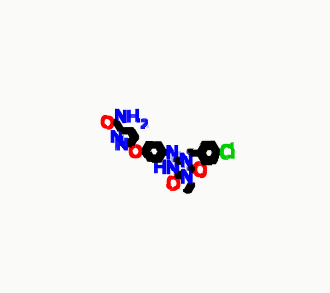 CCn1c(=O)[nH]/c(=N\c2ccc(Oc3ccc(C(N)=O)nn3)cc2)n(Cc2ccc(Cl)cc2)c1=O